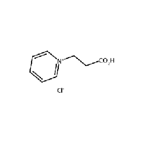 O=C(O)CC[n+]1ccccc1.[Cl-]